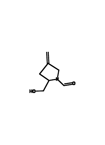 C=C1CC(CO)N(C=O)C1